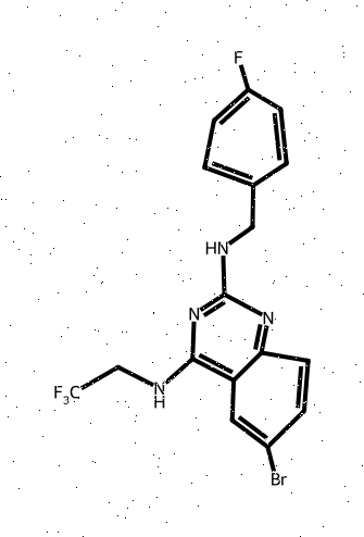 Fc1ccc(CNc2nc(NCC(F)(F)F)c3cc(Br)ccc3n2)cc1